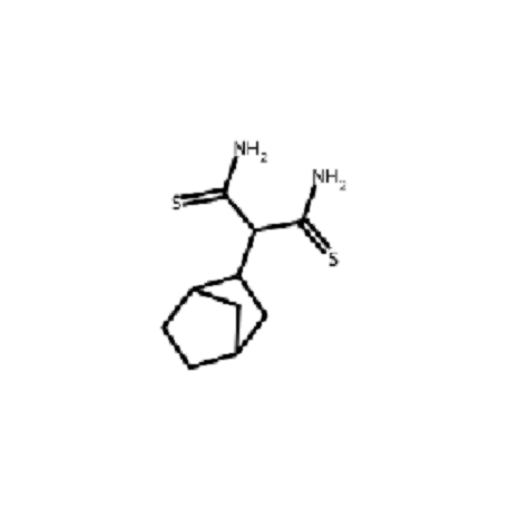 NC(=S)C(C(N)=S)C1CC2CCC1C2